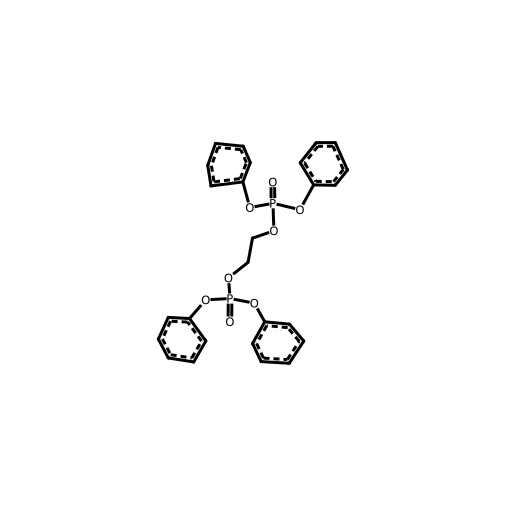 O=P(OCCOP(=O)(Oc1ccccc1)Oc1ccccc1)(Oc1ccccc1)Oc1ccccc1